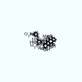 COc1cccc2c1C(=O)c1c(O)c3c(c(O)c1C2=O)C[C@@](O)(C(C)=O)C[C@@H]3OC1CC(NCc2cccc([N+](=O)[O-])c2)C(O)C(C)O1